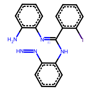 N=Nc1ccccc1N/C(=N/c1ccccc1N)c1ccccc1I